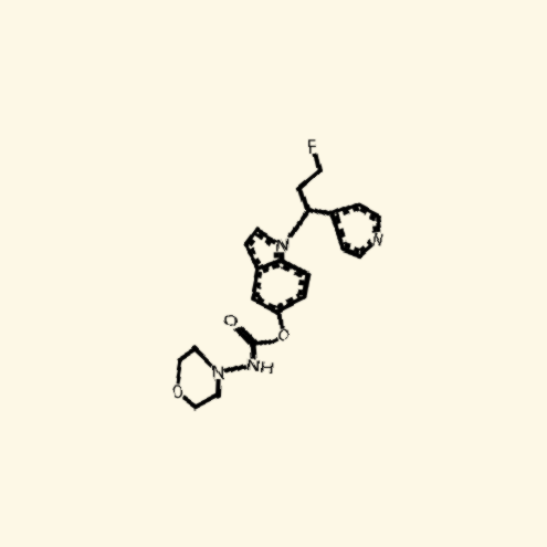 O=C(NN1CCOCC1)Oc1ccc2c(ccn2C(CCF)c2ccncc2)c1